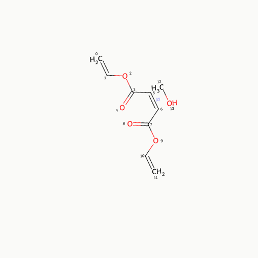 C=COC(=O)/C=C\C(=O)OC=C.CO